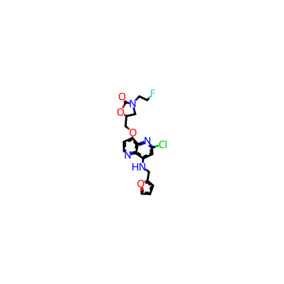 O=C1OC(COc2ccnc3c(NCc4ccco4)cc(Cl)nc23)CN1CCF